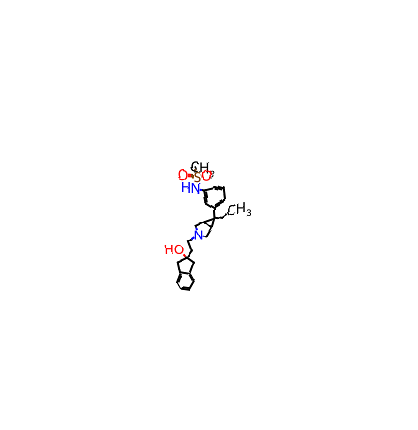 CCC1(c2cccc(NS(C)(=O)=O)c2)C2CN(CCC3(O)Cc4ccccc4C3)CC21